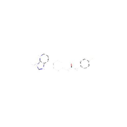 C[C@@H](C(=O)Nc1ccc(Cl)cc1)[C@H]1CC[C@@H](c2ccnc3c2ncn3C)CC1